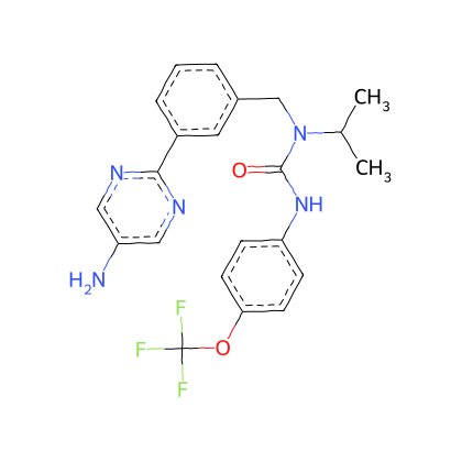 CC(C)N(Cc1cccc(-c2ncc(N)cn2)c1)C(=O)Nc1ccc(OC(F)(F)F)cc1